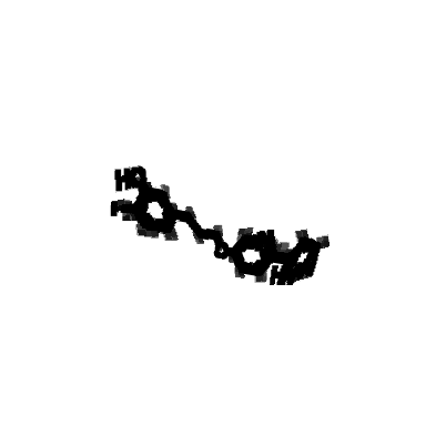 Oc1cc(CCCOc2ccc(-c3ccn[nH]3)nc2)ccc1F